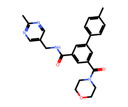 Cc1ccc(-c2cc(C(=O)NCc3cnc(C)nc3)cc(C(=O)N3CCOCC3)c2)cc1